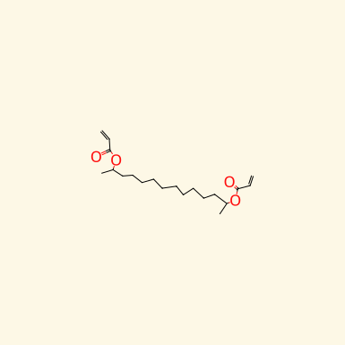 C=CC(=O)OC(C)CCCCCCCCCCC(C)OC(=O)C=C